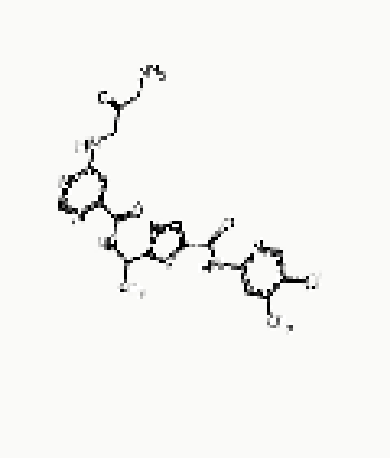 CC(NC(=O)c1cc(NCC(=O)CN)ncn1)c1ncc(C(=O)Nc2cc(C(F)(F)F)c(Cl)cn2)s1